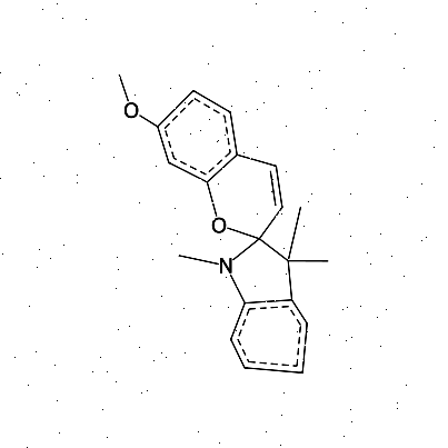 COc1ccc2c(c1)OC1(C=C2)N(C)c2ccccc2C1(C)C